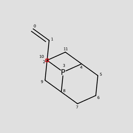 C=CCP1C2CCCC1CCC2